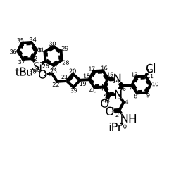 CC(C)NC(=O)Cn1c(-c2cccc(Cl)c2)nc2ccc(C3C=C(CCO[Si](c4ccccc4)(c4ccccc4)C(C)(C)C)C3)cc2c1=O